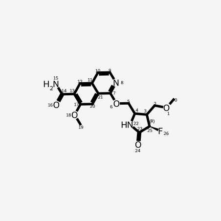 COCC1C(COc2nccc3cc(C(N)=O)c(OC)cc23)NC(=O)[C@@H]1F